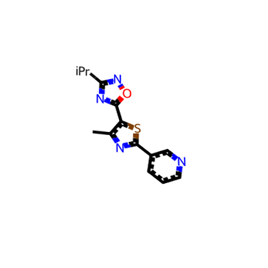 Cc1nc(-c2cccnc2)sc1-c1nc(C(C)C)no1